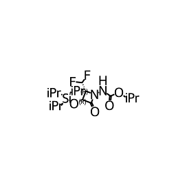 CC(C)OC(=O)NN1C(=O)[C@H](O[Si](C(C)C)(C(C)C)C(C)C)[C@@H]1C(F)F